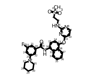 CS(=O)(=O)CCNc1nccc(Oc2ccc(NC(=O)c3cc(F)cc(N4CCCCC4)c3)c3ccccc23)n1